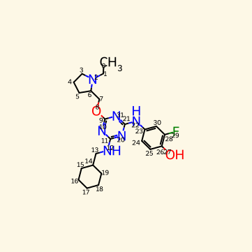 CCN1CCCC1COc1nc(NCC2CCCCC2)nc(Nc2ccc(O)c(F)c2)n1